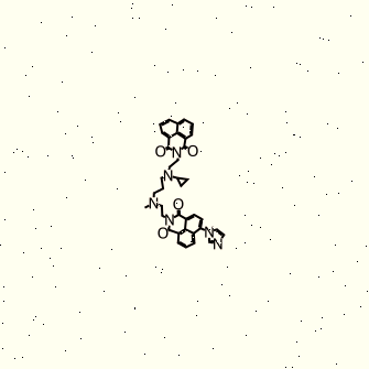 CN(CCCN(CCN1C(=O)c2cccc3cccc(c23)C1=O)C1CC1)CCN1C(=O)c2cccc3c(-n4ccnc4)ccc(c23)C1=O